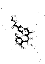 CCOC(=O)c1cc2nc(N[C@H](C)c3cc(F)cnc3O)c(Br)cn2n1